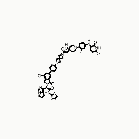 O=C1CCC(Nc2ccc(N3CCC(O)(CC(=O)N4CC5(C4)CN(c4ccc(-c6cc(Cl)c7c(c6)C(=O)N(C(C(=O)Nc6nccs6)c6ncn8c6CCC8)C7)cc4)C5)CC3)c(F)c2)C(=O)N1